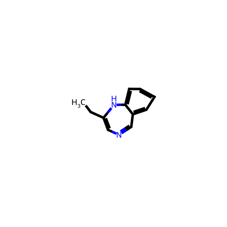 CCC1=CN=Cc2ccccc2N1